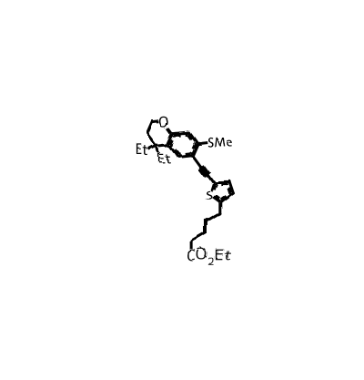 CCOC(=O)CCCCc1ccc(C#Cc2cc3c(cc2SC)OCCC3(CC)CC)s1